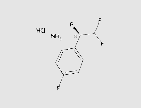 Cl.Fc1ccc([C@@H](F)C(F)F)cc1.N